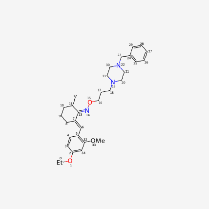 CCOc1ccc(/C=C2\CCCC(C)\C2=N/OCCCN2CCN(Cc3ccccc3)CC2)c(OC)c1